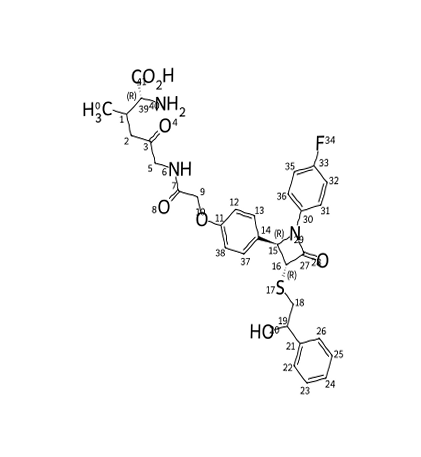 CC(CC(=O)CNC(=O)COc1ccc([C@@H]2[C@@H](SCC(O)c3ccccc3)C(=O)N2c2ccc(F)cc2)cc1)[C@@H](N)C(=O)O